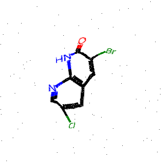 O=c1[nH]c2ncc(Cl)cc2cc1Br